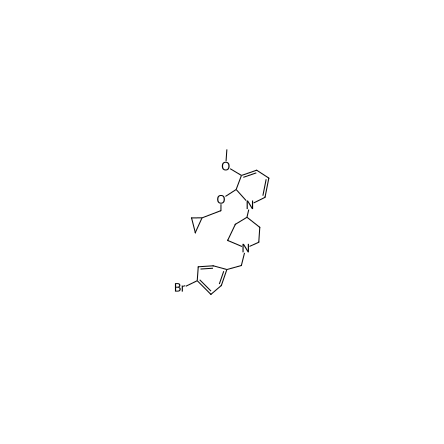 COC1=CC=CN(C2CCN(Cc3ccc(Br)cc3)CC2)C1OCC1CC1